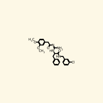 COc1ccc(CC(=O)N=C(N)NC(Cc2ccccc2)C(=O)NCc2cccc(Cl)c2)cc1OC